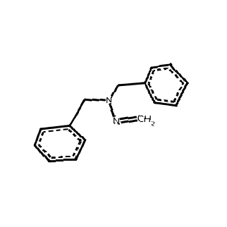 C=NN(Cc1ccccc1)Cc1ccccc1